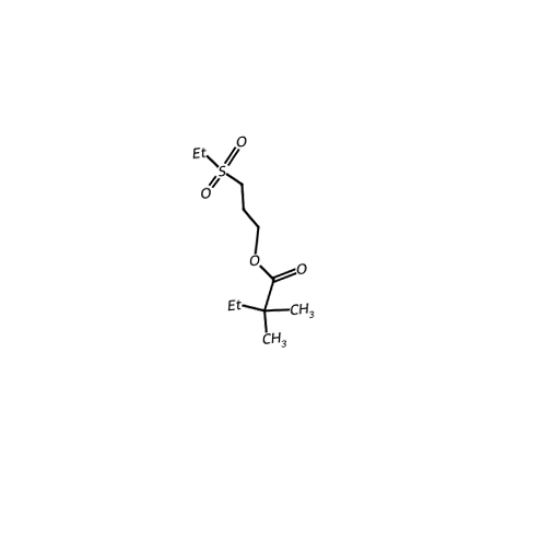 CCC(C)(C)C(=O)OCCCS(=O)(=O)CC